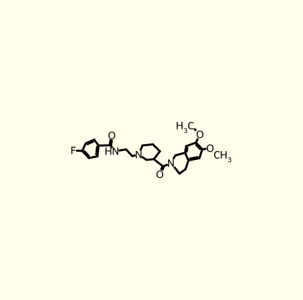 COc1cc2c(cc1OC)CN(C(=O)C1CCCN(CCNC(=O)c3ccc(F)cc3)C1)CC2